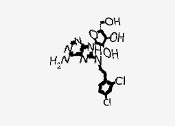 Nc1ncnc2c1nc(NCCc1ccc(Cl)cc1Cl)n2[C@@H]1O[C@H](CO)[C@@H](O)[C@H]1O